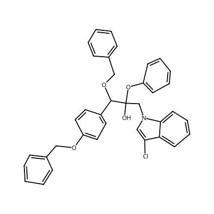 OC(Cn1cc(Cl)c2ccccc21)(Oc1ccccc1)C(OCc1ccccc1)c1ccc(OCc2ccccc2)cc1